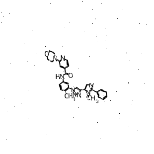 Cc1ccc(NC(=O)c2ccnc(N3CCOCC3)c2)cc1-n1cc(-c2cnc(-c3ccccc3)n2C)nn1